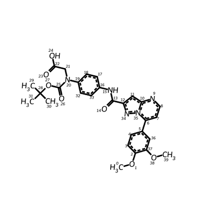 COc1ccc(-c2ccnc3cc(C(=O)Nc4ccc(N(CC(=O)O)C(=O)OC(C)(C)C)cc4)nn23)cc1OC